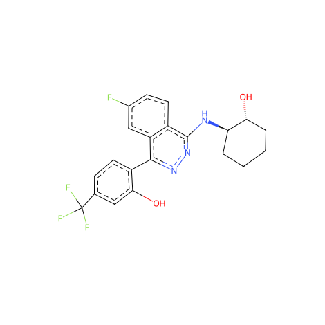 Oc1cc(C(F)(F)F)ccc1-c1nnc(N[C@@H]2CCCC[C@H]2O)c2ccc(F)cc12